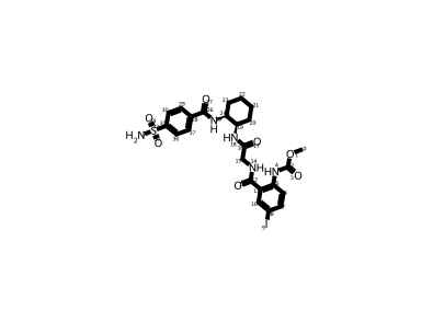 COC(=O)Nc1ccc(I)cc1C(=O)NCC(=O)N[C@@H]1CCCC[C@@H]1NC(=O)c1ccc(S(N)(=O)=O)cc1